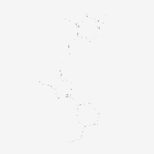 CCc1cc(-c2nc(C)c(COCc3ccc(Cl)cc3Cl)s2)ccn1